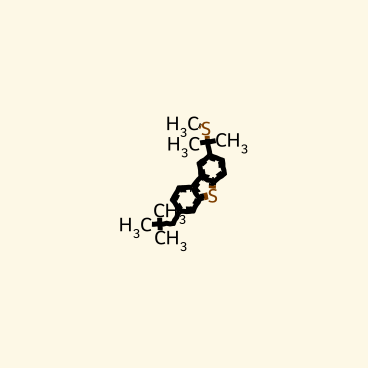 CSC(C)(C)c1ccc2sc3cc(CC(C)(C)C)ccc3c2c1